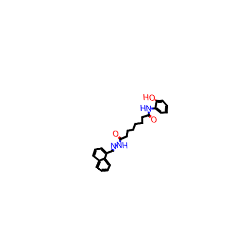 O=C(CCCCCCC(=O)Nc1ccccc1O)NN=Cc1cccc2ccccc12